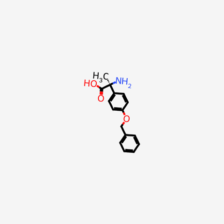 C[C@@](N)(C(=O)O)c1ccc(OCc2ccccc2)cc1